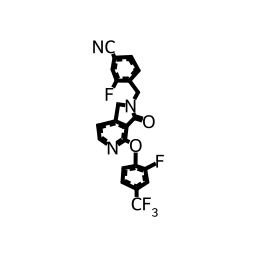 N#Cc1ccc(CN2Cc3ccnc(Oc4ccc(C(F)(F)F)cc4F)c3C2=O)c(F)c1